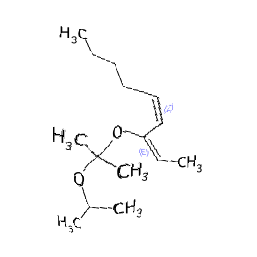 C/C=C(\C=C/CCCC)OC(C)(C)OC(C)C